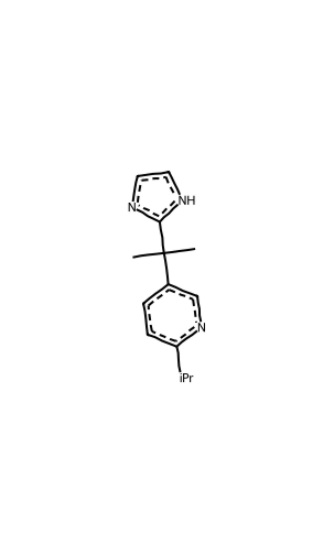 CC(C)c1ccc(C(C)(C)c2ncc[nH]2)cn1